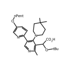 CCCCCOc1ccc(-c2cnc(C)c(C(OC(C)(C)C)C(=O)O)c2N2CCC(C)(C)CC2)nc1